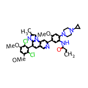 C=CC(=O)Nc1cc(-c2cc3c(cn2)cc(-c2c(Cl)c(OC)cc(OC)c2Cl)c2nc(C)cn23)c(OC)cc1N1CCN(C2CC2)CC1